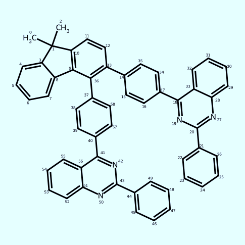 CC1(C)c2ccccc2-c2c1ccc(-c1ccc(-c3nc(-c4ccccc4)nc4ccccc34)cc1)c2-c1ccc(-c2nc(-c3ccccc3)nc3ccccc23)cc1